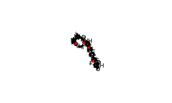 Cc1cc2cc(n1)-c1cnn(C)c1OCCC[C@@H](C)CN1/C(=N/C2=O)Nc2ccc(N3CCN(C4CCN(c5cc(F)c([C@H]6CCC(=O)NC6=O)c(F)c5)CC4)[C@H](C)C3)cc21